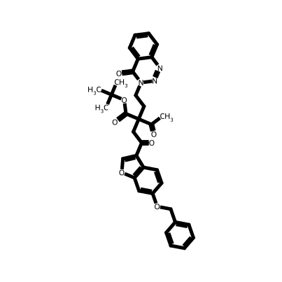 CC(=O)C(CCn1nnc2ccccc2c1=O)(CC(=O)c1coc2cc(OCc3ccccc3)ccc12)C(=O)OC(C)(C)C